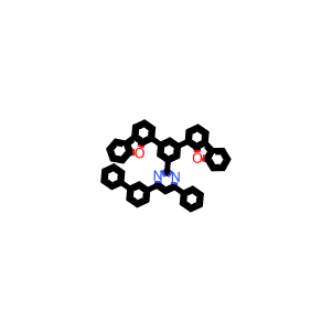 c1ccc(-c2cccc(-c3cc(-c4ccccc4)nc(-c4cc(-c5cccc6c5oc5ccccc56)cc(-c5cccc6c5oc5ccccc56)c4)n3)c2)cc1